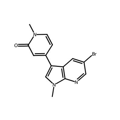 Cn1ccc(-c2cn(C)c3ncc(Br)cc23)cc1=O